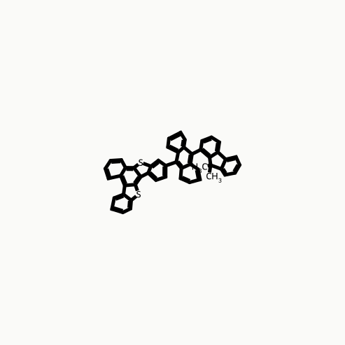 CC1(C)c2ccccc2-c2cccc(-c3c4ccccc4c(-c4ccc5c(c4)sc4c6ccccc6c6c7ccccc7sc6c54)c4ccccc34)c21